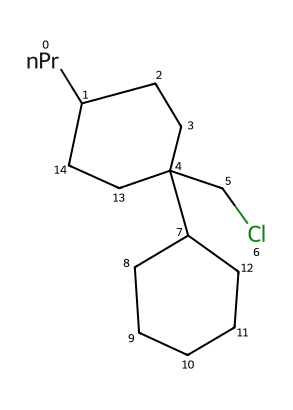 CCCC1CCC(CCl)(C2CCCCC2)CC1